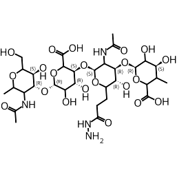 CC(=O)NC1C(C)OC(CO)[C@@H](O)[C@@H]1O[C@@H]1OC(C(=O)O)[C@@H](O[C@@H]2OC(CCC(=O)NN)[C@@H](O)[C@H](O[C@@H]3OC(C(=O)O)C(C)[C@H](O)C3O)C2NC(C)=O)[C@H](O)C1O